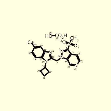 CS(=O)(=O)c1nn(Cc2nc3cc(Cl)ccc3n2C2CCC2)c2cnccc12.O=C(O)O